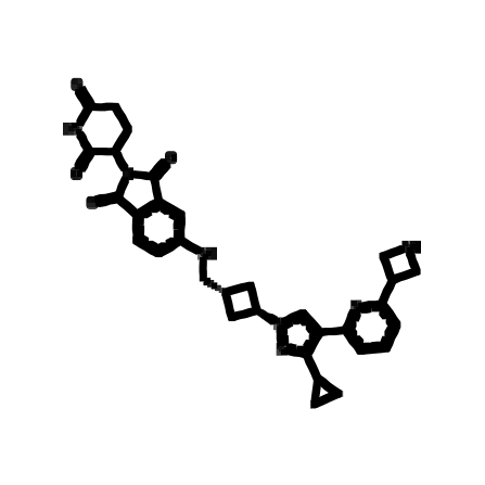 O=C1CCC(N2C(=O)c3ccc(NC[C@H]4C[C@H](n5cc(-c6cccc(C7CNC7)n6)c(C6CC6)n5)C4)cc3C2=O)C(=O)N1